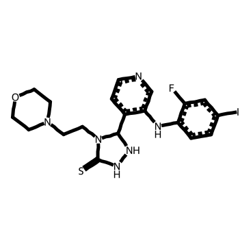 Fc1cc(I)ccc1Nc1cnccc1C1NNC(=S)N1CCN1CCOCC1